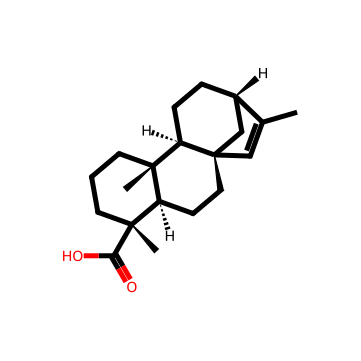 CC1=C[C@]23CC[C@@H]4[C@](C)(CCC[C@@]4(C)C(=O)O)[C@H]2CC[C@H]1C3